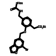 CCCCCCC(=O)NCc1ccc(CC(=O)OCC)c(OCc2cc(Br)c3occc3c2)c1